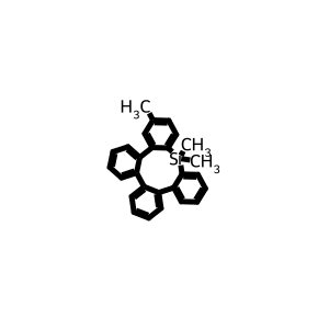 Cc1ccc2c(c1)-c1ccccc1-c1ccccc1-c1ccccc1[Si]2(C)C